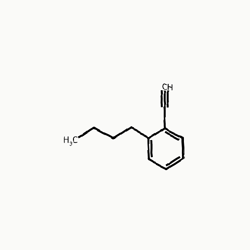 C#Cc1ccccc1CCCC